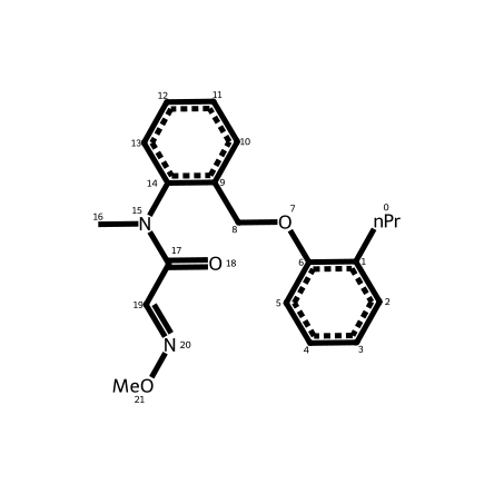 CCCc1ccccc1OCc1ccccc1N(C)C(=O)C=NOC